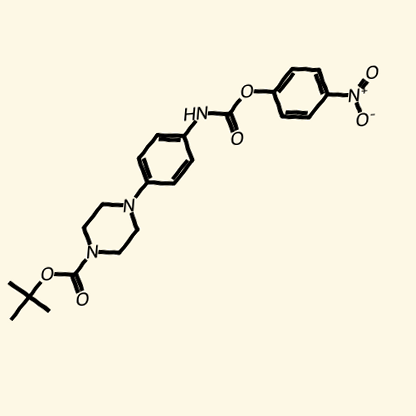 CC(C)(C)OC(=O)N1CCN(c2ccc(NC(=O)Oc3ccc([N+](=O)[O-])cc3)cc2)CC1